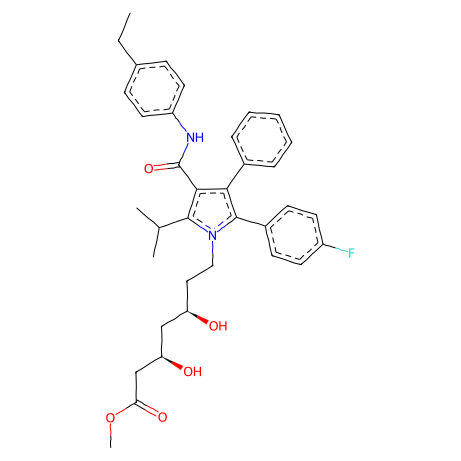 CCc1ccc(NC(=O)c2c(-c3ccccc3)c(-c3ccc(F)cc3)n(CC[C@@H](O)C[C@@H](O)CC(=O)OC)c2C(C)C)cc1